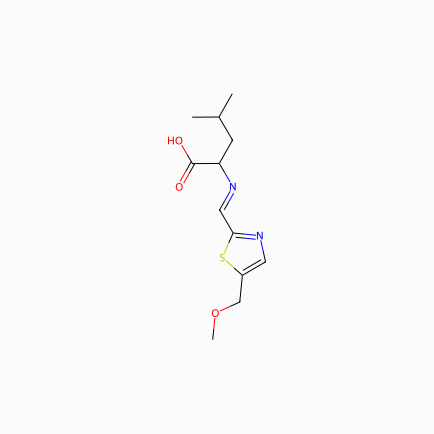 COCc1cnc(C=NC(CC(C)C)C(=O)O)s1